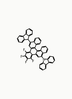 Fc1c(F)c(F)c2c3cc(-n4c5ccccc5c5ccccc54)c4ccccc4c3c3c4ccccc4c(C4c5ccccc5-c5ccccc54)cc3c2c1F